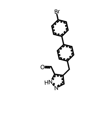 O=Cc1[nH]ncc1Cc1ccc(-c2ccc(Br)cc2)cc1